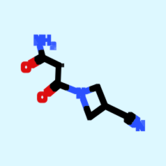 N#CC1CN(C(=O)[CH]C(N)=O)C1